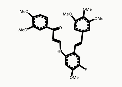 COc1cc(NC=CC(=O)c2ccc(OC)c(OC)c2)c(C=Cc2cc(OC)c(OC)c(OC)c2)cc1F